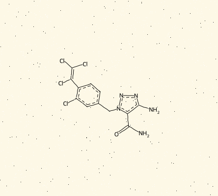 NC(=O)c1c(N)nnn1Cc1ccc(C(Cl)=C(Cl)Cl)c(Cl)c1